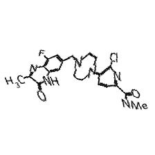 CNC(=O)c1ccc(N2CCN(Cc3cc(F)c4nc(C)c(=O)[nH]c4c3)CC2)c(Cl)n1